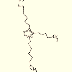 CCCCCCCn1cc[n+](CCCCCCC)c1CCCCC